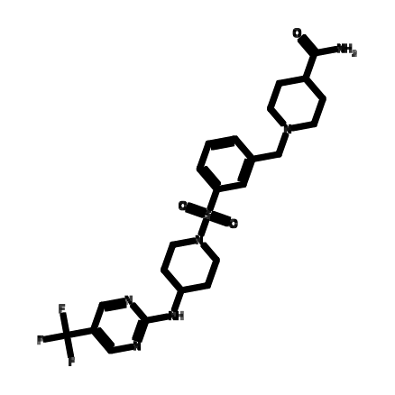 NC(=O)C1CCN(Cc2cccc(S(=O)(=O)N3CCC(Nc4ncc(C(F)(F)F)cn4)CC3)c2)CC1